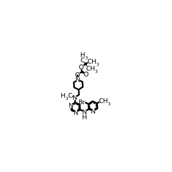 Cc1cnc(Nc2cc(N(C)CC3CCN(OC(=O)OC(C)(C)C)CC3)ncn2)c(Br)c1